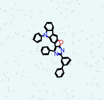 c1ccc(-c2cccc(-c3nc(-c4ccccc4)c4c(n3)oc3cc5c6ccccc6n(-c6ccccc6)c5cc34)c2)cc1